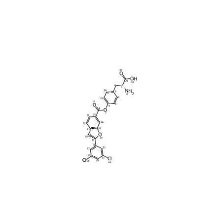 N[C@H](Cc1ccc(OC(=O)c2ccc3nc(-c4cc(Cl)cc(Cl)c4)oc3c2)cc1)C(=O)O